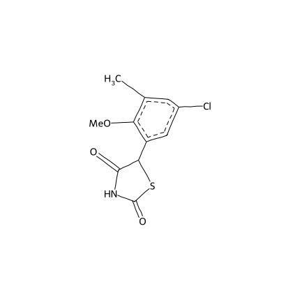 COc1c(C)cc(Cl)cc1C1SC(=O)NC1=O